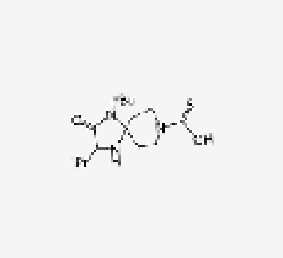 CCCCN1C(=O)C(C(C)C)NC12CCN(C(O)=S)CC2